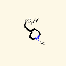 CC(=O)N1CCC(CC(=O)O)CC1